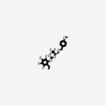 CCc1c(F)c(F)c(F)c(F)c1OC(=O)O[C@H](COCc1ccc(OC)cc1)C(F)(F)F